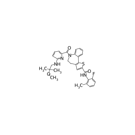 COC(C)(C)CNc1cccc(C(=O)N2CCc3cc(C(=O)Nc4c(C)cccc4F)sc3-c3ccccc32)n1